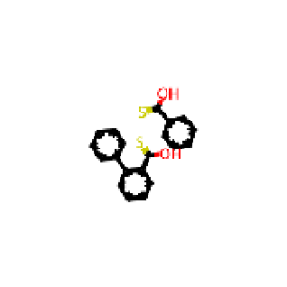 OC(=S)c1ccccc1.OC(=S)c1ccccc1-c1ccccc1